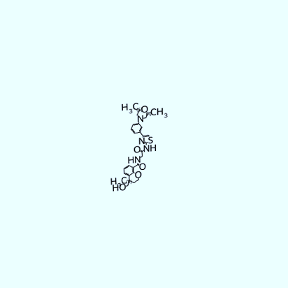 C[C@@H]1CN(c2cccc(-c3csc(NC(=O)CNC(=O)c4cccc5c4OCC[C@@]5(C)CO)n3)c2)C[C@H](C)O1